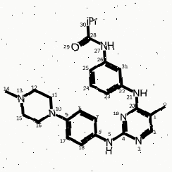 Cc1cnc(Nc2ccc(N3CCN(C)CC3)cc2)nc1Nc1cccc(NC(=O)C(C)C)c1